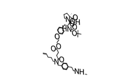 C=CCCCN(Cc1ccc(CCN)cc1)C(=O)CCC(=O)OCCOc1ccc(C[C@H](NC(=O)OC(C)(C)C)C(=O)N2CCC[C@@]2(C)C(=O)O)cc1